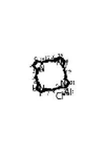 C1=Cc2cc3ccc(cc4nc(cc5ccc(cc1n2)[nH]5)C=C4)[nH]3.[Al][Cl]